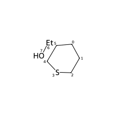 C1CCSCC1.CCO